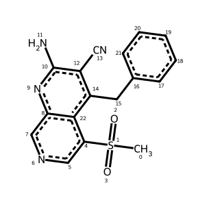 CS(=O)(=O)c1cncc2nc(N)c(C#N)c(Cc3ccccc3)c12